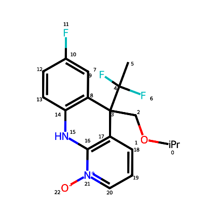 CC(C)OCC1(C(C)(F)F)c2cc(F)ccc2Nc2c1ccc[n+]2[O-]